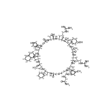 CC[C@@H]1NC(=O)[C@H](Cc2ccccc2)NC(=O)CSC[C@@H](C(=O)NCC(N)=O)NC(=O)[C@H](Cc2cncn2C)NC(=O)[C@H](CCCNC(=N)N)NC(=O)[C@H](C)NC(=O)[C@H](Cc2ccc(O)cc2)N(C)C(=O)[C@H](CCCNC(=N)N)NC(=O)[C@H](CO)NC(=O)CNC(=O)[C@H](Cc2c[nH]cn2)NC(=O)[C@H](Cc2cccc3ccccc23)NC1=O